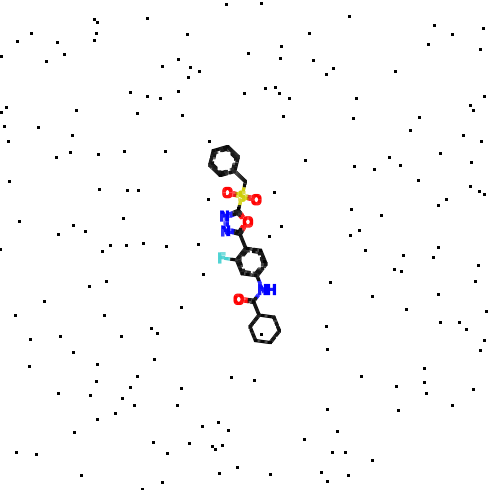 O=C(Nc1ccc(-c2nnc(S(=O)(=O)Cc3ccccc3)o2)c(F)c1)C1CCCCC1